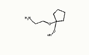 CCCOC1(OCCN)CCCC1